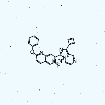 N[N+]12C=CN=CC1=C(C1=CC=C1)N=C2c1cc2nc(Oc3ccccc3)ccc2cc1F